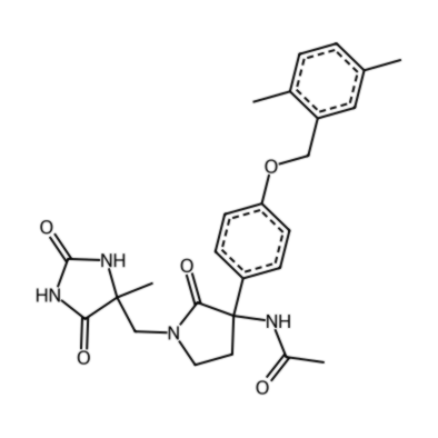 CC(=O)NC1(c2ccc(OCc3cc(C)ccc3C)cc2)CCN(CC2(C)NC(=O)NC2=O)C1=O